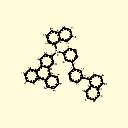 c1cc(-c2cccc(N(c3ccc4c5ccccc5c5ccccc5c4c3)c3cccc4ccccc34)c2)cc(-c2cccc3ccccc23)c1